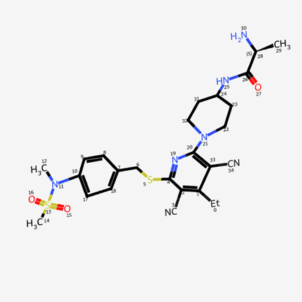 CCc1c(C#N)c(SCc2ccc(N(C)S(C)(=O)=O)cc2)nc(N2CCC(NC(=O)[C@H](C)N)CC2)c1C#N